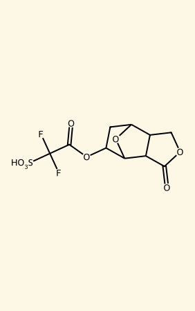 O=C1OCC2C3CC(OC(=O)C(F)(F)S(=O)(=O)O)C(O3)C12